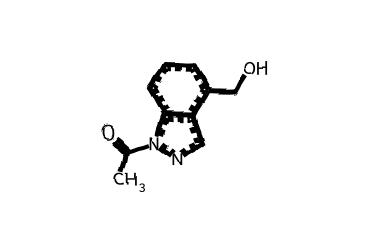 CC(=O)n1ncc2c(CO)cccc21